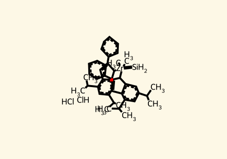 CC(C)c1cc(C(C)C)c2c(c1)[CH]([Zr]([CH3])([CH3])(=[SiH2])[CH]1C(c3ccccc3)=Cc3c(C(C)C)cc(C(C)C)cc31)C(c1ccccc1)=C2.Cl.Cl